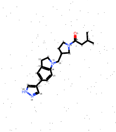 CC(C)CC(=O)N1CCC(CN2CCc3cc(-c4cn[nH]c4)ccc32)C1